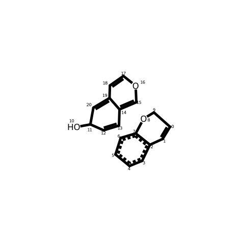 C1=Cc2ccccc2OC1.OC1C=CC2=COC=CC2=C1